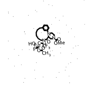 CC(=O)OC(F)(F)F.COC(=O)N1CCN2c3cccc(c3)CCCCCCNC(=O)C2C1.O=C(O)CC(F)(F)F